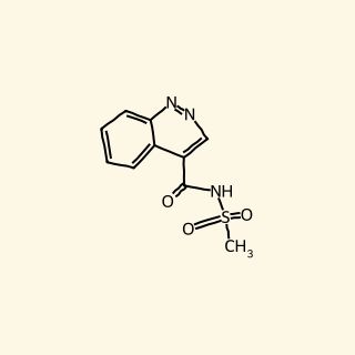 CS(=O)(=O)NC(=O)c1cnnc2ccccc12